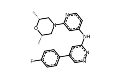 C[C@@H]1CN(c2cc(Nc3cc(-c4ccc(F)cc4)cnn3)ccn2)C[C@H](C)O1